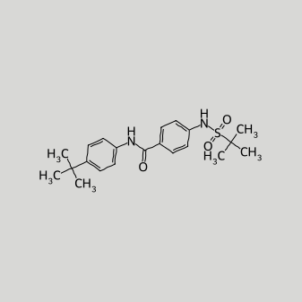 CC(C)(C)c1ccc(NC(=O)c2ccc(NS(=O)(=O)C(C)(C)C)cc2)cc1